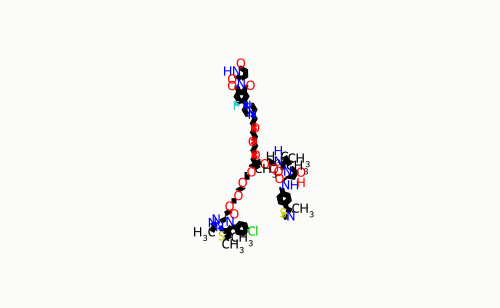 Cc1ncsc1-c1ccc(CNC(=O)[C@@H]2C[C@@H](O)CN2C(=O)[C@@H](NC(=O)COCC(C)(COCCOCCOCCOC(=O)C[C@@H]2N=C(c3ccc(Cl)cc3)c3c(sc(C)c3C)-n3c(C)nnc32)COCCOCCOCCN2CCN(c3cc4c(cc3F)C(=O)N(C3CCC(=O)NC3=O)C4=O)CC2)C(C)(C)C)cc1